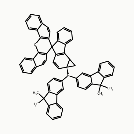 CC1(C)c2ccccc2-c2cc(N(c3ccc4c(c3)-c3ccccc3C4(C)C)[C@@]34C=CC5=C(c6ccccc6C56c5ccc7ccccc7c5Oc5c6ccc6ccccc56)C3C4)ccc21